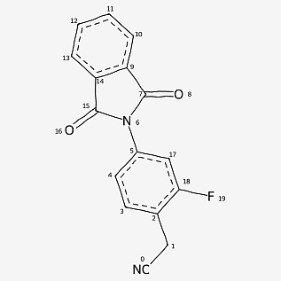 N#CCc1ccc(N2C(=O)c3ccccc3C2=O)cc1F